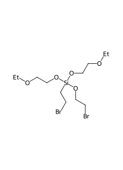 CCOCCO[Si](CCBr)(OCCBr)OCCOCC